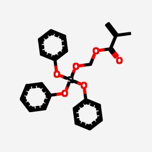 C=C(C)C(=O)OCO[Si](Oc1ccccc1)(Oc1ccccc1)Oc1ccccc1